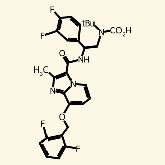 Cc1nc2c(OCc3c(F)cccc3F)cccn2c1C(=O)NC(CN(C(=O)O)C(C)(C)C)c1ccc(F)c(F)c1